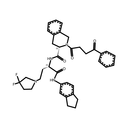 O=C(CCC(=O)N1Cc2ccccc2C[C@H]1C(=O)N[C@@H](CCN1CCC(F)(F)C1)C(=O)Nc1ccc2c(c1)CCC2)c1ccccc1